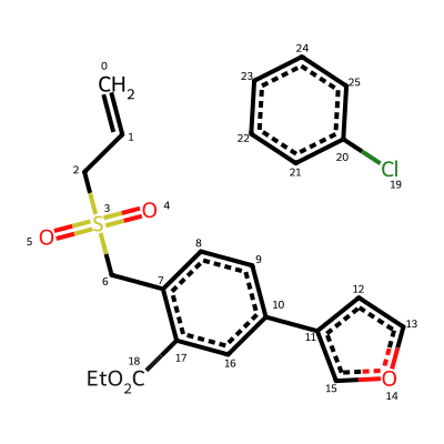 C=CCS(=O)(=O)Cc1ccc(-c2ccoc2)cc1C(=O)OCC.Clc1ccccc1